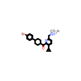 O=C(O)NCc1ccc(C2CC2)c(C(=O)C2CCC(c3ccc(Br)cc3)CC2)n1